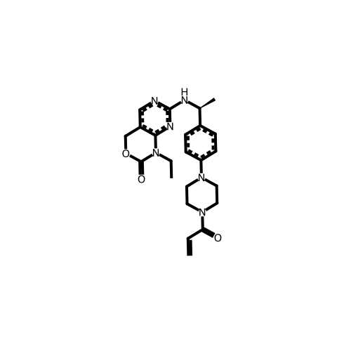 C=CC(=O)N1CCN(c2ccc([C@H](C)Nc3ncc4c(n3)N(CC)C(=O)OC4)cc2)CC1